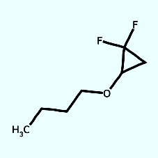 CCCCOC1CC1(F)F